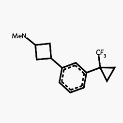 CNC1CC(c2cccc(C3(C(F)(F)F)CC3)c2)C1